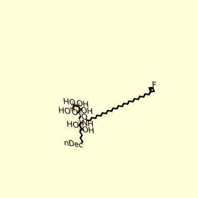 CCCCCCCCCCCCCC[C@@H](O)[C@@H](O)[C@H](CC[C@H]1O[C@H](CO)[C@H](O)[C@H](O)[C@H]1O)NC(=O)CCCCCCCCCCCCCCCCCCCCCCCC12CC(F)(C1)C2